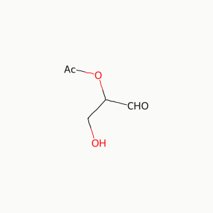 CC(=O)OC(C=O)CO